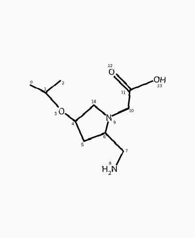 CC(C)OC1CC(CN)N(CC(=O)O)C1